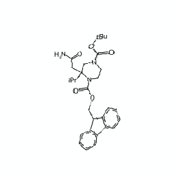 CC(C)C1(CC(N)=O)CN(C(=O)OC(C)(C)C)CCN1C(=O)OCC1c2ccccc2-c2ccccc21